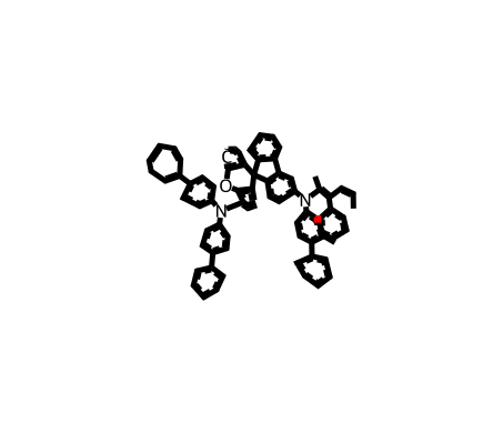 C/C=C\C(=C(/C)N(c1ccc(-c2ccccc2)c(C)c1)c1ccc2c(c1)-c1ccccc1C21c2ccccc2Oc2c(N(c3ccc(C4=CCC=CC=C4)cc3)c3ccc(-c4ccccc4)cc3)cccc21)c1ccccc1